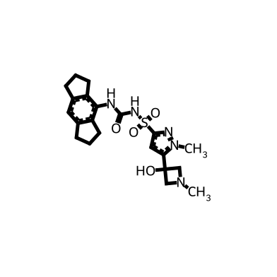 CN1CC(O)(c2cc(S(=O)(=O)NC(=O)Nc3c4c(cc5c3CCC5)CCC4)nn2C)C1